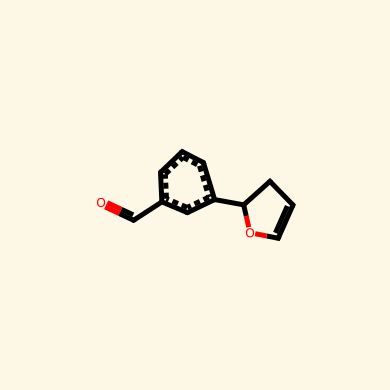 O=Cc1cccc(C2CC=CO2)c1